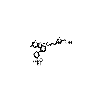 CCS(=O)(=O)C1=CCCC(c2ccc(OCCCn3cnc(CO)c3)c3[nH]c4ncc(C)cc4c23)=C1